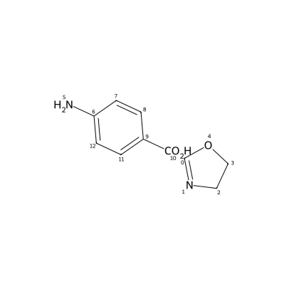 C1=NCCO1.Nc1ccc(C(=O)O)cc1